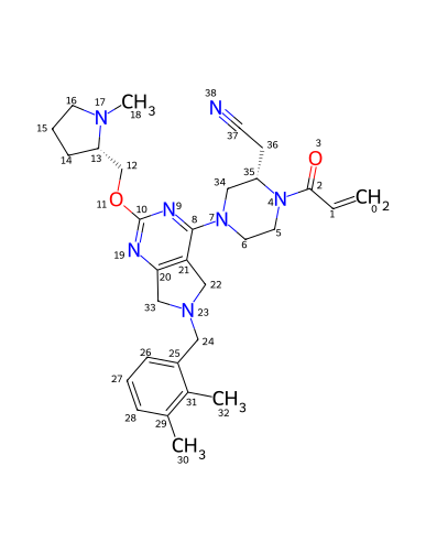 C=CC(=O)N1CCN(c2nc(OC[C@@H]3CCCN3C)nc3c2CN(Cc2cccc(C)c2C)C3)C[C@@H]1CC#N